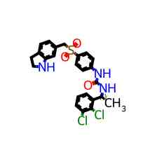 C[C@H](NC(=O)Nc1ccc(S(=O)(=O)Cc2ccc3c(c2)NCC3)cc1)c1cccc(Cl)c1Cl